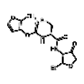 CCC1OCC(=O)C1NC(=O)[C@H](CC(C)(C)C)NC(=O)Oc1ccoc1C